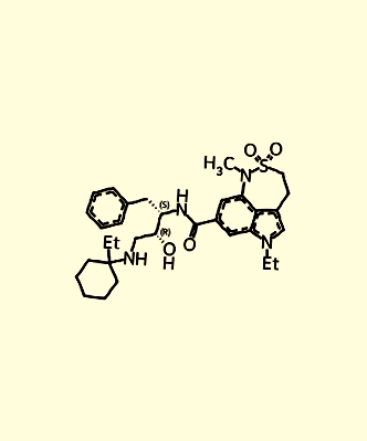 CCn1cc2c3c(cc(C(=O)N[C@@H](Cc4ccccc4)[C@H](O)CNC4(CC)CCCCC4)cc31)N(C)S(=O)(=O)CC2